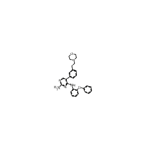 Nc1ncc(-c2cccc(CCN3CCOCC3)c2)c(Nc2ccccc2Oc2ccccc2)n1